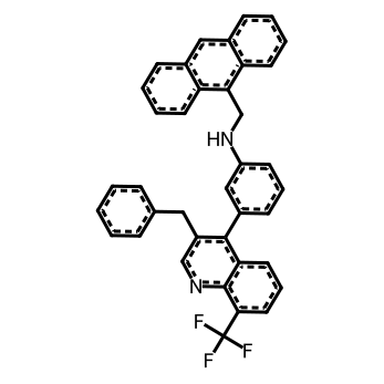 FC(F)(F)c1cccc2c(-c3cccc(NCc4c5ccccc5cc5ccccc45)c3)c(Cc3ccccc3)cnc12